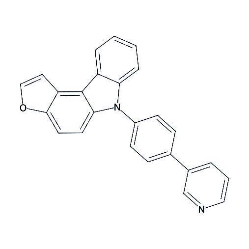 c1cncc(-c2ccc(-n3c4ccccc4c4c5ccoc5ccc43)cc2)c1